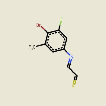 Fc1cc(N=CC=S)cc(C(F)(F)F)c1Br